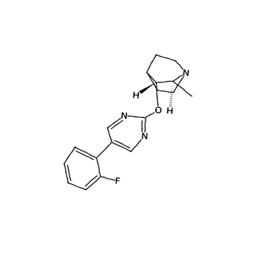 C[C@H]1[C@H](Oc2ncc(-c3ccccc3F)cn2)C2CCN1CC2